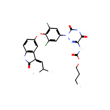 CCCCOC(=O)Nc1nn(-c2cc(Cl)c(Oc3ccc4c(c3)/C(=C/C(C)C)C(=O)N4)c(Cl)c2)c(=O)[nH]c1=O